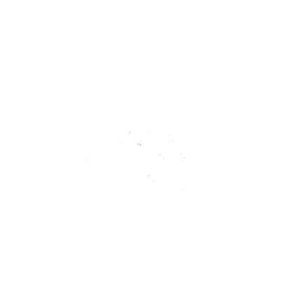 c1ccc(-c2ccc3oc4ccc(-n5c6ccccc6c6cccc(-c7nc(-c8ccccc8)nc(-c8ccc9c(c8)oc8ccccc89)n7)c65)cc4c3c2)cc1